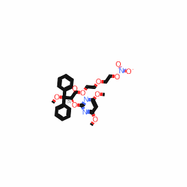 COc1cc(OC)nc(O[C@H](C(=O)OCCOCCO[N+](=O)[O-])C(OC)(c2ccccc2)c2ccccc2)n1